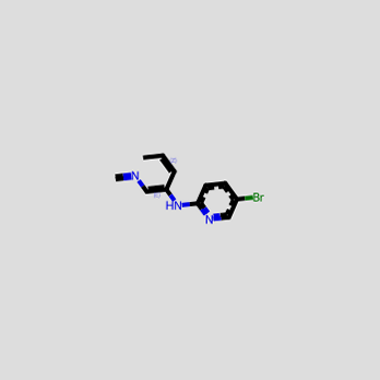 C=N/C=C(\C=C/C)Nc1ccc(Br)cn1